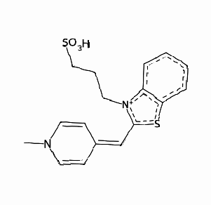 CN1C=CC(=Cc2sc3ccccc3[n+]2CCCS(=O)(=O)O)C=C1